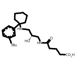 CC(C)(C)c1cccc(C2(NC[C@@H](O)CNC(=O)CCCC(=O)O)CCCCC2)c1